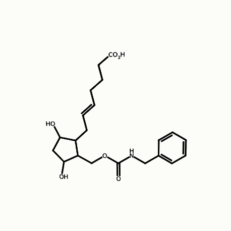 O=C(O)CCC/C=C/CC1C(O)CC(O)C1COC(=O)NCc1ccccc1